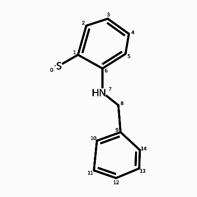 [S]c1ccccc1NCc1ccccc1